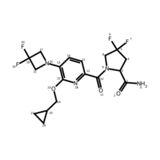 NC(=O)C1CC(F)(F)CN1C(=O)c1ccc(N2CC(F)(F)C2)c(OCC2CC2)n1